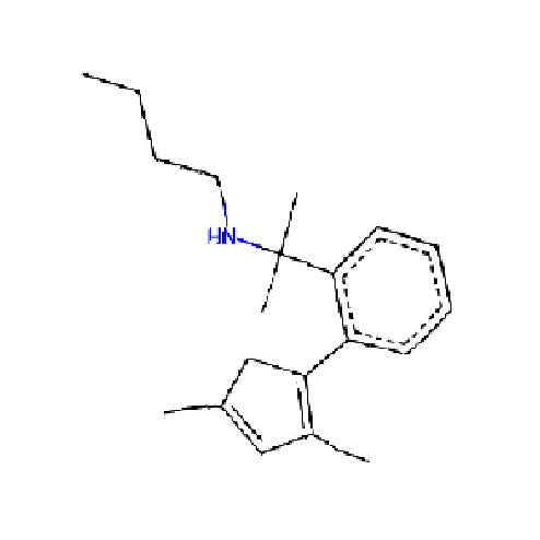 CCCCNC(C)(C)c1ccccc1C1=C(C)C=C(C)C1